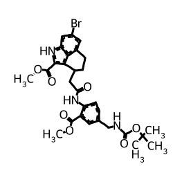 COC(=O)c1cc(CNC(=O)OC(C)(C)C)ccc1NC(=O)CC1CCc2cc(Br)cc3[nH]c(C(=O)OC)c1c23